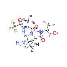 CC(C)[C@@H](C=O)NC(=O)[C@@H]1[C@H]2C(C)(C)[C@@]2(N)CN1C(=O)[C@@H](NC(=O)C(F)(F)F)C(C)(C)C